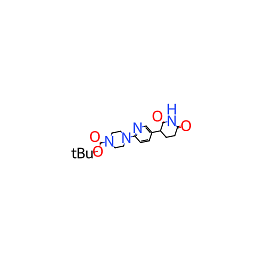 CC(C)(C)OC(=O)N1CCN(c2ccc(C3CCC(=O)NC3=O)cn2)CC1